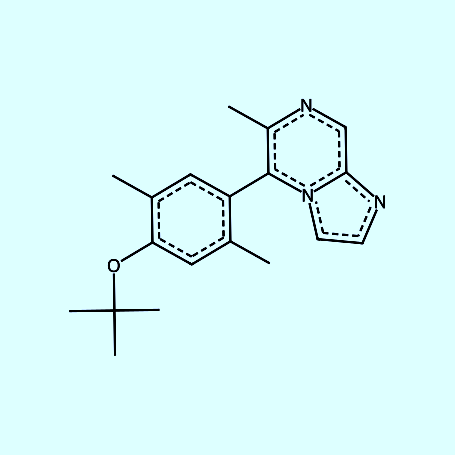 Cc1cc(-c2c(C)ncc3nccn23)c(C)cc1OC(C)(C)C